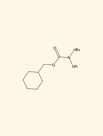 CCCCN(CCC)C(=O)OCC1CCCCC1